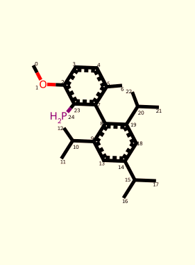 COc1ccc(C)c(-c2c(C(C)C)cc(C(C)C)cc2C(C)C)c1P